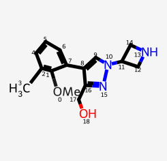 COc1c(C)cccc1-c1cn(C2CNC2)nc1CO